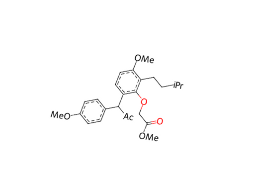 COC(=O)COc1c(C(C(C)=O)c2ccc(OC)cc2)ccc(OC)c1CCC(C)C